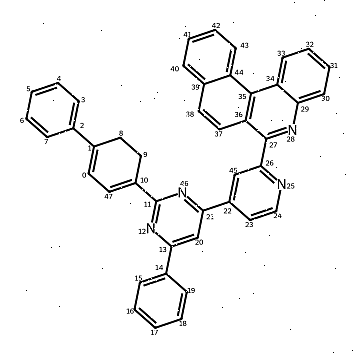 C1=C(c2ccccc2)CCC(c2nc(-c3ccccc3)cc(-c3ccnc(-c4nc5ccccc5c5c4ccc4ccccc45)c3)n2)=C1